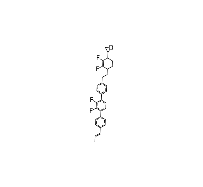 C/C=C/c1ccc(-c2ccc(-c3ccc(CCC4CCC(C5CO5)C(F)=C4F)cc3)c(F)c2F)cc1